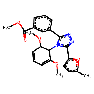 COC(=O)c1cccc(-c2nnc(-c3ccc(C)o3)n2C2C(OC)=CC=CC2OC)c1